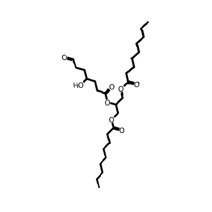 CCCCCCCCC(=O)OCC(COC(=O)CCCCCCCC)OC(=O)CCC(O)CCC=O